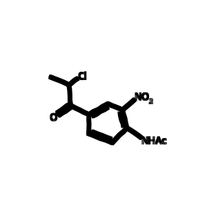 CC(=O)Nc1ccc(C(=O)C(C)Cl)cc1[N+](=O)[O-]